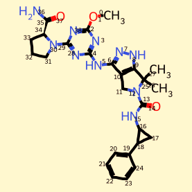 COc1nc(Nc2n[nH]c3c2CN(C(=O)NC2CC2c2ccccc2)C3(C)C)nc(N2CCC[C@H]2C(N)=O)n1